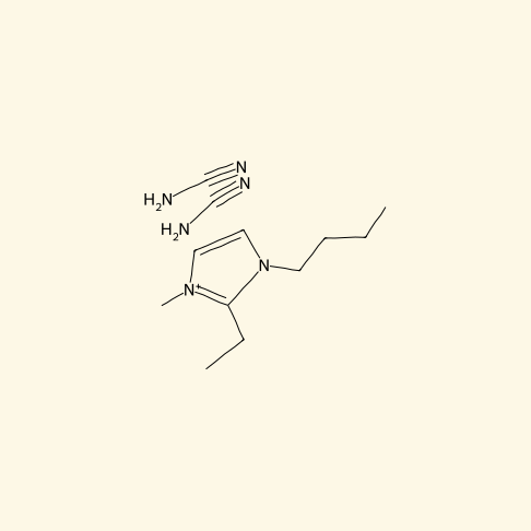 CCCCn1cc[n+](C)c1CC.N#CN.N#CN